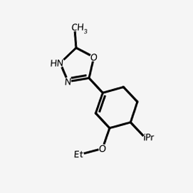 CCOC1C=C(C2=NNC(C)O2)CCC1C(C)C